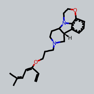 C=C/C(=C\C=C(C)C)OCCCN1CCC2[C@@H](C1)c1cccc3c1N2CCO3